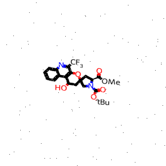 COC(=O)[C@@H]1CC2(CC(O)c3c(c(C(F)(F)F)nc4ccccc34)O2)CN1C(=O)OC(C)(C)C